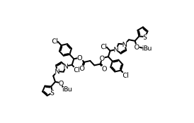 CCC(C)OC(CN1C=CN(C(Cl)C(OC(=O)CCC(=O)OC(c2ccc(Cl)cc2)C(Cl)N2C=CN(CC(OC(C)CC)c3cccs3)C2)c2ccc(Cl)cc2)C1)c1cccs1